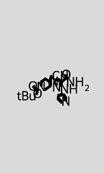 CC(C)(C)OC(=O)N1CCC(CC#N)(n2cc(C(N)=O)c(Nc3cccnc3)n2)CC1